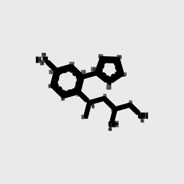 CN(CC(O)CO)c1ccc(N)cc1-c1cccs1